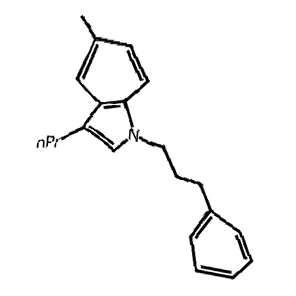 CCCc1cn(CCCc2ccccc2)c2ccc(C)cc12